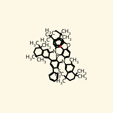 Cc1cc2c(cc1N1c3ccc4oc5ccccc5c4c3B3c4c(cc5c(sc6ccccc65)c41)-c1cc4c(cc1N3c1ccc3c(c1)C(C)(C)CCC3(C)C)C(C)(C)CCC4(C)C)C(C)(C)CCC2(C)C